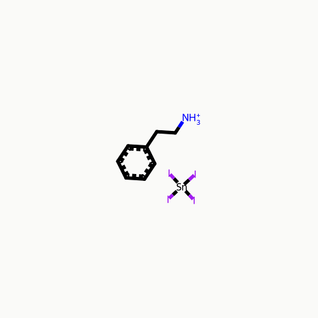 [I][Sn]([I])([I])[I].[NH3+]CCc1ccccc1